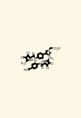 C#Cc1ccc(NC(=O)c2[nH]c(C)c(Cl)c2Cl)cc1.Cc1[nH]c(C(=O)Nc2ccc(-c3cn(CC(=O)O)nn3)cc2)c(Cl)c1Cl